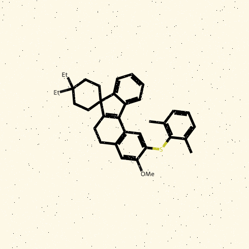 CCC1(CC)CCC2(CC1)C1=C(c3cc(Sc4c(C)cccc4C)c(OC)cc3CC1)c1ccccc12